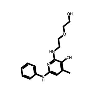 Cc1cc(Nc2ccccc2)nc(NCCOCCO)c1C#N